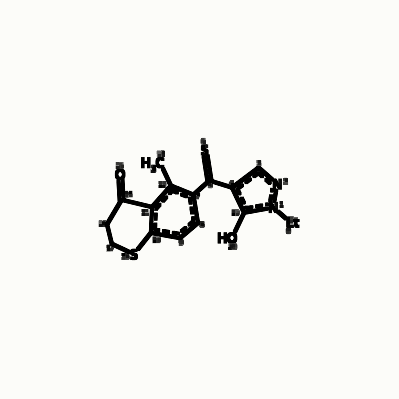 CCn1ncc(C(=S)c2ccc3c(c2C)C(=O)CCS3)c1O